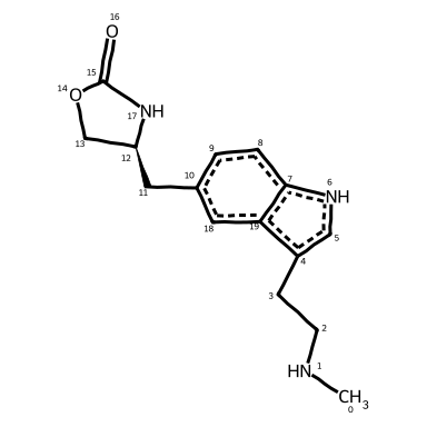 CNCCc1c[nH]c2ccc(C[C@H]3COC(=O)N3)cc12